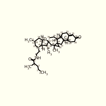 CCCC(C)C(=O)NCCN1C[C@@H](C)C[C@H]2O[C@]3(CC[C@H]4[C@@H]5CCC6=CC(=O)CC[C@]6(C)[C@H]5CC45CC5(C)C3)[C@H](C)[C@@H]21